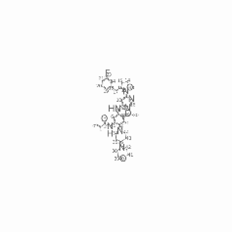 C=CC(=O)Nc1cc(Nc2cc(N3OCCC3Cc3cccc(F)c3)ncn2)c(OC)cc1N1CCC(N2CCOCC2)CC1